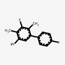 Cc1c(-c2ccc(F)cc2)[c]c(C(C)C)c(C)c1F